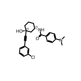 CN(C)c1ccc(C(=O)N[C@H]2CCC[C@@](O)(C#Cc3cccc(Cl)c3)C2)cc1